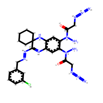 [N-]=[N+]=NCC(=O)N(N)c1cc2c(cc1N(N)C(=O)CN=[N+]=[N-])NC1(CCCCC1)C(N=NCc1cccc(Cl)c1)=N2